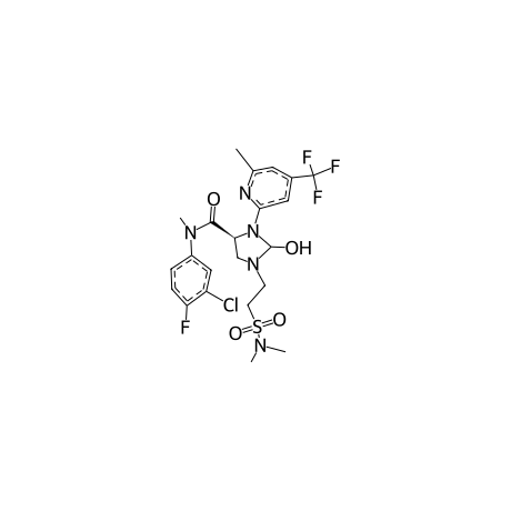 Cc1cc(C(F)(F)F)cc(N2C(O)N(CCS(=O)(=O)N(C)C)C[C@H]2C(=O)N(C)c2ccc(F)c(Cl)c2)n1